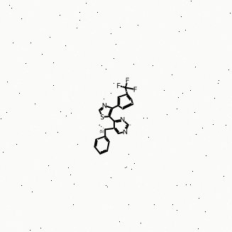 C[C@@H](c1ccccc1)c1cn[c]nc1-c1scnc1-c1cccc(C(F)(F)F)c1